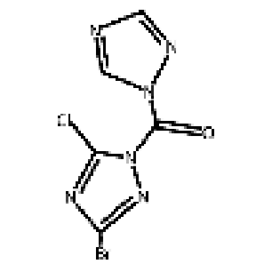 O=C(n1cncn1)n1nc(Br)nc1Cl